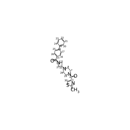 Cc1nc(C(=O)N2CCN(C3CN(C(=O)c4ccc(-c5ccccc5)cc4)C3)CC2)cs1